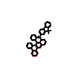 CC1(C)c2ccccc2-c2ccc(N(c3ccccc3-c3cccc(-c4ccccc4)c3-c3ccccc3-c3ccccc3)c3cccc4ccccc34)cc21